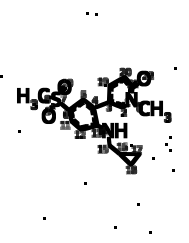 Cn1cc(-c2cc(S(C)(=O)=O)ccc2NCC2CC2)ccc1=O